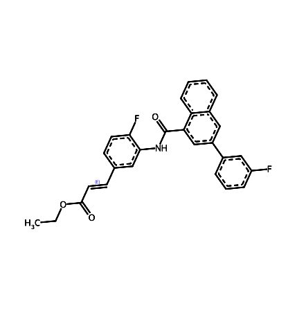 CCOC(=O)/C=C/c1ccc(F)c(NC(=O)c2cc(-c3cccc(F)c3)cc3ccccc23)c1